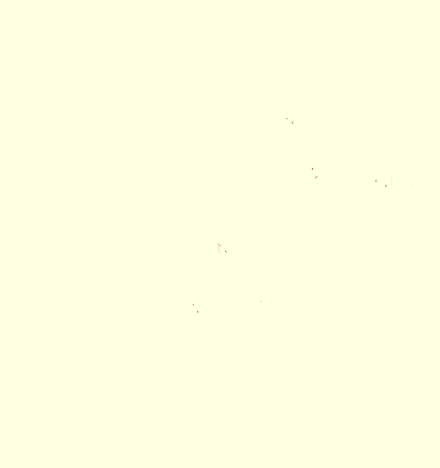 NC1(c2nc(C3CC(c4ccc(C(F)(F)F)cc4)CN(C(=O)N4CCOCC4)C3)no2)CC1